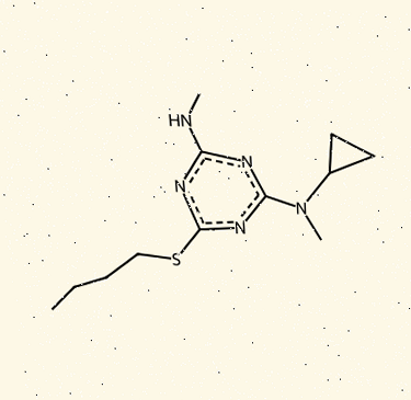 CCCCSc1nc(NC)nc(N(C)C2CC2)n1